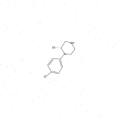 CC[C@@H]1CNCCN1c1ccc(Cl)cc1